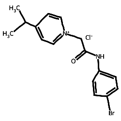 CC(C)c1cc[n+](CC(=O)Nc2ccc(Br)cc2)cc1.[Cl-]